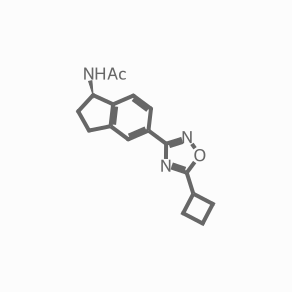 CC(=O)N[C@@H]1CCc2cc(-c3noc(C4CCC4)n3)ccc21